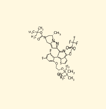 C[C@H](COc1cc(F)cc(F)c1-c1c(-c2cc3n(n2)[C@@H](C)CN(C(=O)OC(C)(C)C)C3)nc(OS(=O)(=O)C(F)(F)F)c2ccsc12)O[Si](C)(C)C(C)(C)C